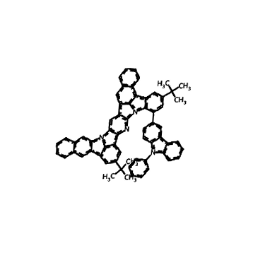 CC(C)(C)c1cc(-c2ccc3c(c2)c2ccccc2n3-c2ccccc2)c2c(c1)c1c3ccccc3cc3c4cc5c(nc4n2c31)c1cc(C(C)(C)C)cc2c3cc4ccccc4cc3n5c21